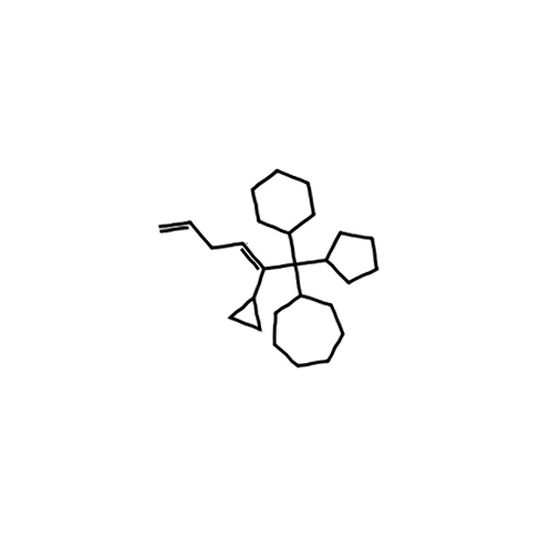 C=CC/[C]=C(\C1CC1)C(C1CCCCCC1)(C1CCCCC1)C1CCCC1